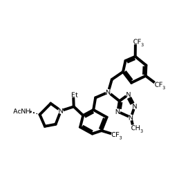 CCC(c1ccc(C(F)(F)F)cc1CN(Cc1cc(C(F)(F)F)cc(C(F)(F)F)c1)c1nnn(C)n1)N1CC[C@H](NC(C)=O)C1